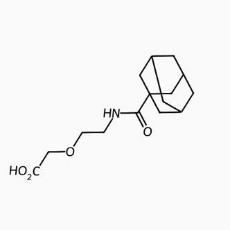 O=C(O)COCCNC(=O)C12CC3CC(CC(C3)C1)C2